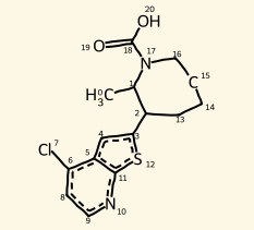 CC1C(c2cc3c(Cl)ccnc3s2)CCCCN1C(=O)O